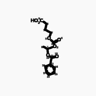 CC(OC(=O)OCCCC(=O)O)OC(=O)c1ccccc1